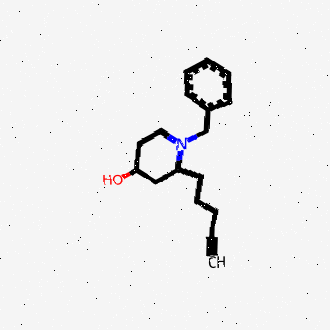 C#CCCCC1CC(O)CCN1Cc1ccccc1